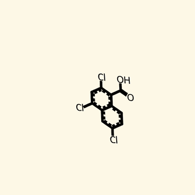 O=C(O)c1c(Cl)cc(Cl)c2cc(Cl)ccc12